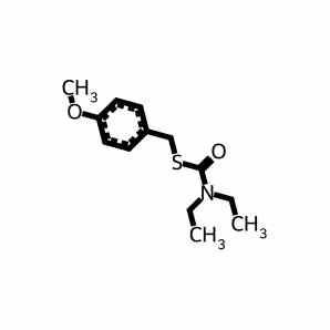 CCN(CC)C(=O)SCc1ccc(OC)cc1